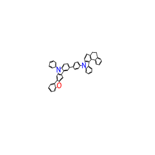 c1ccc(-n2c3ccc(-c4ccc(-n5c6ccccc6c6c7c(ccc65)CCc5ccccc5-7)cc4)cc3c3cc4oc5ccccc5c4cc32)cc1